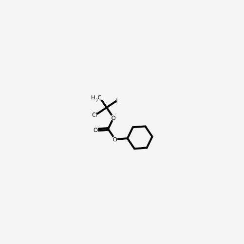 CC(Cl)(I)OC(=O)OC1CCCCC1